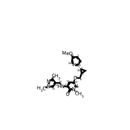 COc1ccc([C@@H]2CC2COc2cc(NCc3cn(C)nc3C)c(=O)n(C)n2)nc1